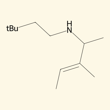 CC=C(C)C(C)NCCC(C)(C)C